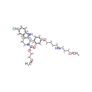 COCCCNCCCCOc1ccc(C2c3[nH]c4ccc(Cl)cc4c3CCN2C(=O)OCCOC)cc1